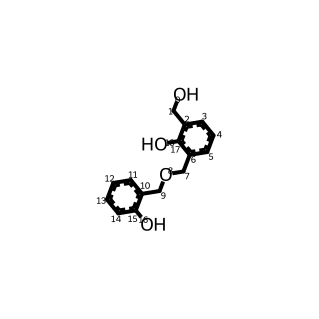 OCc1cccc(COCc2ccccc2O)c1O